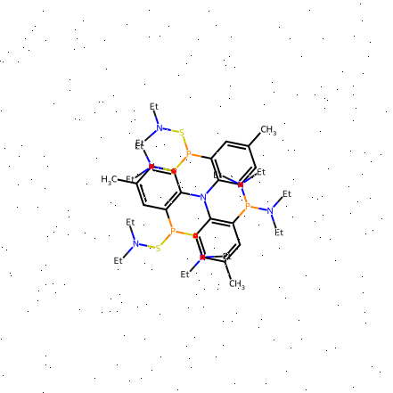 CCN(CC)SP(SN(CC)CC)c1cc(C)ccc1N(c1ccc(C)cc1P(SN(CC)CC)SN(CC)CC)c1ccc(C)cc1P(N(CC)CC)N(CC)CC